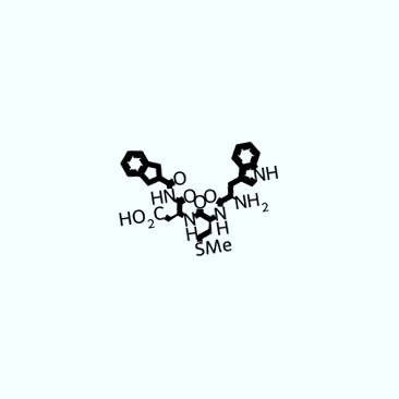 CSCC[C@H](NC(=O)[C@@H](N)Cc1c[nH]c2ccccc12)C(=O)N[C@@H](CC(=O)O)C(=O)NC(=O)C1Cc2ccccc2C1